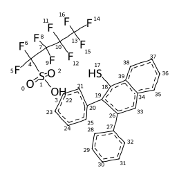 O=S(=O)(O)C(F)(F)C(F)(F)C(F)(F)C(F)(F)F.Sc1c(-c2ccccc2)c(-c2ccccc2)cc2ccccc12